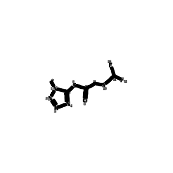 Cn1nnnc1SC(=O)CSC(F)F